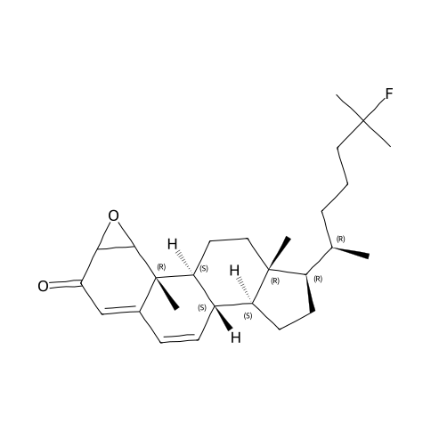 C[C@H](CCCC(C)(C)F)[C@H]1CC[C@H]2[C@@H]3C=CC4=CC(=O)C5OC5[C@]4(C)[C@H]3CC[C@]12C